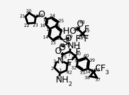 NC1CCN(C(=O)C(NS(=O)(=O)c2ccc3cc(OC4CCCC4)ccc3c2)C(F)(F)c2ccc(C3(C(F)(F)F)CC3)cc2)CC1.O=C(O)C(F)(F)F